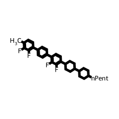 CCCCCC1CCC(C2CCC(c3ccc(-c4ccc(-c5ccc(C)c(F)c5F)cc4)c(F)c3F)CC2)CC1